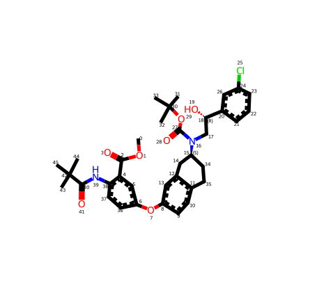 COC(=O)c1cc(Oc2ccc3c(c2)C[C@@H](N(C[C@H](O)c2cccc(Cl)c2)C(=O)OC(C)(C)C)CC3)ccc1NC(=O)C(C)(C)C